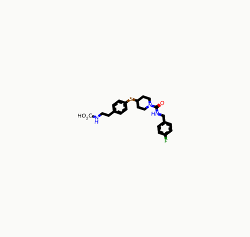 O=C(O)NCCc1ccc(SC2CCN(C(=O)NCc3ccc(F)cc3)CC2)cc1